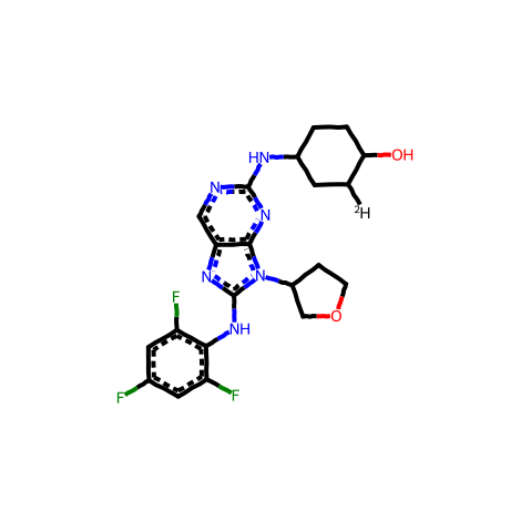 [2H]C1CC(Nc2ncc3nc(Nc4c(F)cc(F)cc4F)n(C4CCOC4)c3n2)CCC1O